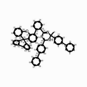 CC1(c2ccc(-c3ccccc3)cc2)N=C(c2ccccc2-c2cccc3c2Oc2ccccc2C32c3ccccc3-c3ccccc32)N=C(c2ccc(-c3ccccc3)cc2)N1